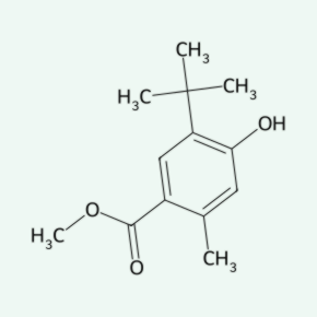 COC(=O)c1cc(C(C)(C)C)c(O)cc1C